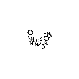 CN1C(=O)C(/C=N\C(=O)c2ncn(Cc3ccccc3)n2)CSc2cc3[nH]ccc3cc21